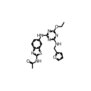 CCOc1nc(NCc2ccco2)nc(Nc2ccc3nc(NC(C)=O)sc3c2)n1